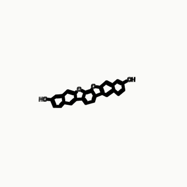 Oc1ccc2cc3c(cc2c1)oc1c3ccc2c3cc4ccc(O)cc4cc3oc21